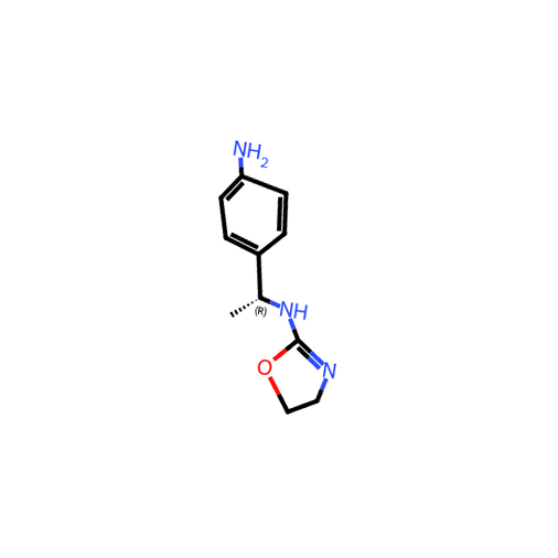 C[C@@H](NC1=NCCO1)c1ccc(N)cc1